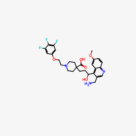 COc1ccc2ncc(CN)c(C(O)CCC3(C(=O)O)CCN(CCOc4cc(F)c(F)c(F)c4)CC3)c2c1